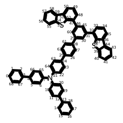 c1ccc(-c2ccc(N(c3ccc(-c4ccccc4)cc3)c3ccc(-c4ccc(-c5cc(-c6cccc7c6sc6ccccc67)cc(-c6cccc7c6sc6ccccc67)c5)cc4)cc3)cc2)cc1